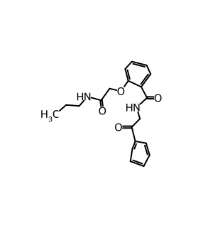 CCCNC(=O)COc1ccccc1C(=O)NCC(=O)c1ccccc1